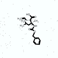 C=CC[C@H](C(=O)O)[C@](C)(CC(C)C)NC(=O)OCc1ccccc1